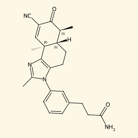 Cc1nc2c(n1-c1cccc(CCC(N)=O)c1)CC[C@H]1[C@H](C)C(=O)C(C#N)=C[C@]21C